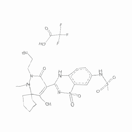 CN1N(CCC(C)(C)C)C(=O)C(C2=NS(=O)(=O)c3cc(NS(C)(=O)=O)ccc3N2)=C(O)C12CCCC2.O=C(O)C(F)(F)F